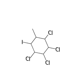 CC1C(Cl)C(Cl)C(Cl)C(Cl)C1I